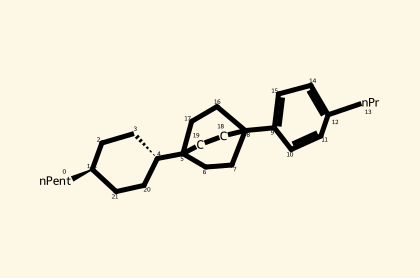 CCCCC[C@H]1CC[C@H](C23CCC(c4ccc(CCC)cc4)(CC2)CC3)CC1